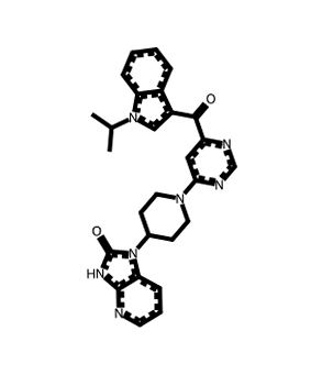 CC(C)n1cc(C(=O)c2cc(N3CCC(n4c(=O)[nH]c5ncccc54)CC3)ncn2)c2ccccc21